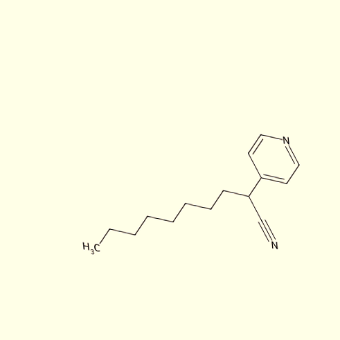 CCCCCCCCC(C#N)c1ccncc1